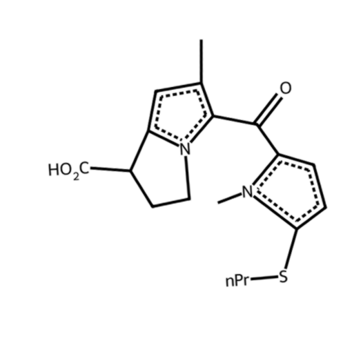 CCCSc1ccc(C(=O)c2c(C)cc3n2CCC3C(=O)O)n1C